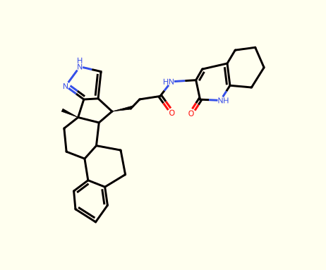 C[C@]12CCC3c4ccccc4CCC3C1[C@H](CCC(=O)Nc1cc3c([nH]c1=O)CCCC3)c1c[nH]nc12